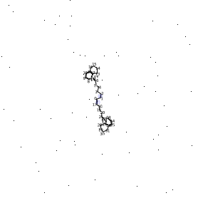 C(/C=C\CCCC[n+]1cccc2c1CCCC2)=C/CCCC[n+]1cccc2c1CCCC2